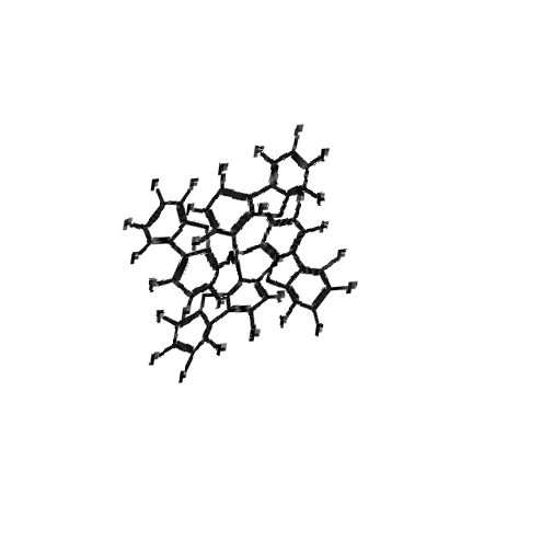 Fc1c(F)c(F)c2c(c1F)Cc1c-2c(F)c(F)c(F)[c]1[Al-]([c]1c(F)c(F)c(F)c2c1Cc1c(F)c(F)c(F)c(F)c1-2)([c]1c(F)c(F)c(F)c2c1Cc1c(F)c(F)c(F)c(F)c1-2)[c]1c(F)c(F)c(F)c2c1Cc1c(F)c(F)c(F)c(F)c1-2